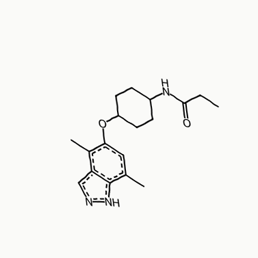 CCC(=O)NC1CCC(Oc2cc(C)c3[nH]ncc3c2C)CC1